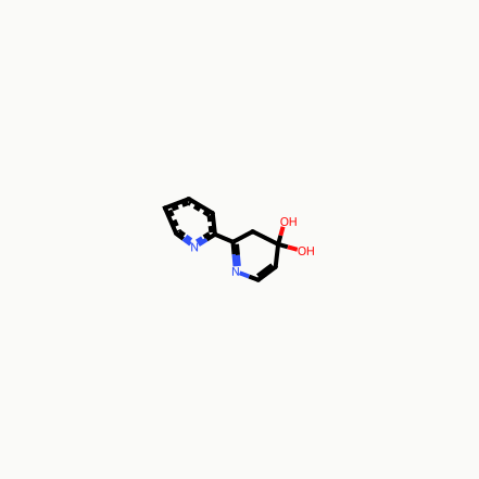 OC1(O)C=CN=C(c2ccccn2)C1